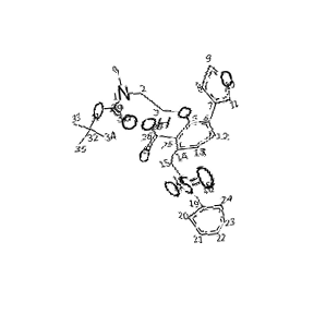 CN(CCOc1c(-c2ccoc2)ccc(CS(=O)(=O)c2ccccc2)c1C(=O)O)C(=O)OC(C)(C)C